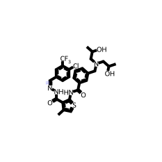 Cc1csc(NC(=O)c2cccc(CN(CC(C)O)CC(C)O)c2)c1C(=O)N/N=C\c1ccc(Cl)c(C(F)(F)F)c1